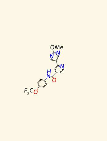 COc1ncc(-c2cc(C(=O)Nc3ccc(OC(F)(F)F)cc3)ccn2)cn1